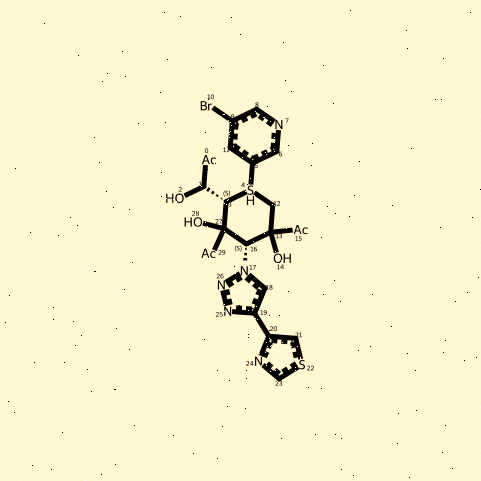 CC(=O)C(O)[C@@H]1[SH](c2cncc(Br)c2)CC(O)(C(C)=O)[C@H](n2cc(-c3cscn3)nn2)C1(O)C(C)=O